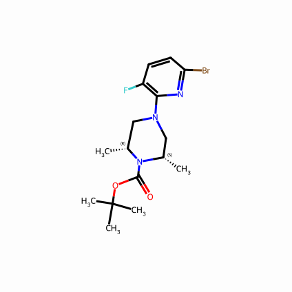 C[C@@H]1CN(c2nc(Br)ccc2F)C[C@H](C)N1C(=O)OC(C)(C)C